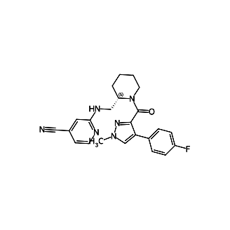 Cn1cc(-c2ccc(F)cc2)c(C(=O)N2CCCC[C@H]2CNc2cc(C#N)ccn2)n1